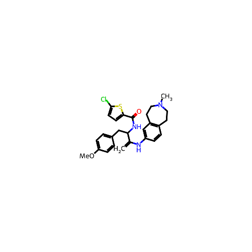 C=C(Nc1ccc2c(c1)CCN(C)CC2)C(Cc1ccc(OC)cc1)NC(=O)c1ccc(Cl)s1